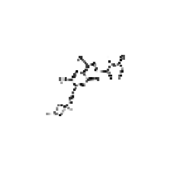 CN1CC(C)(C#Cc2cc3nc(-c4cccc(Cl)c4F)nc(N)c3cc2N)C1